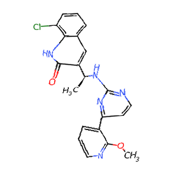 COc1ncccc1-c1ccnc(N[C@@H](C)c2cc3cccc(Cl)c3[nH]c2=O)n1